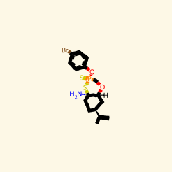 C=C(C)[C@H]1CC[C@@]2(N)S[P@@](=S)(Oc3ccc(Br)cc3)CO[C@H]2C1